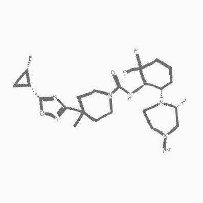 CC(C)N1CCN([C@H]2CCCC(F)(F)[C@@H]2NC(=O)N2CCC(C)(c3noc([C@@H]4C[C@@H]4F)n3)CC2)[C@H](C)C1